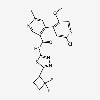 COc1cnc(Cl)cc1-c1cc(C)ncc1C(=O)Nc1nnc(C2CCC2(F)F)s1